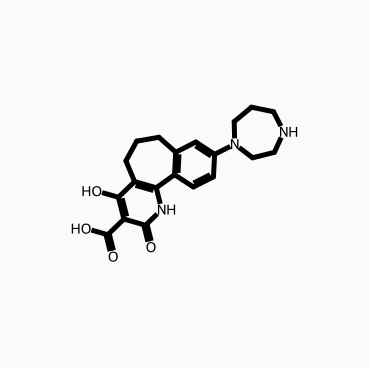 O=C(O)c1c(O)c2c([nH]c1=O)-c1ccc(N3CCCNCC3)cc1CCC2